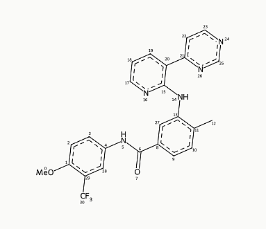 COc1ccc(NC(=O)c2ccc(C)c(Nc3ncccc3-c3ccncn3)c2)cc1C(F)(F)F